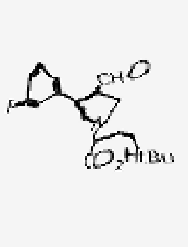 CC(C)(C)CC(C(=O)O)N1CC(C=O)C(c2cccc(F)c2)C1